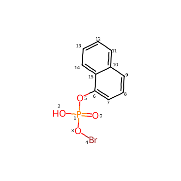 O=P(O)(OBr)Oc1cccc2ccccc12